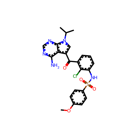 COc1ccc(S(=O)(=O)Nc2cccc(C(=O)c3cn(C(C)C)c4ncnc(N)c34)c2Cl)cc1